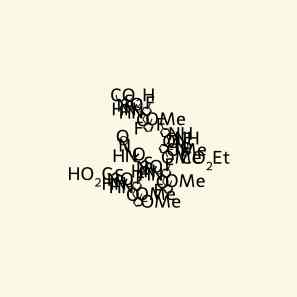 CCOC(=O)Cc1csc(NC(=O)Nc2cc(F)ccc2Oc2cccc(OC)c2OC)n1.COc1cccc(F)c1Oc1ccc(F)cc1NC(=O)Nc1nc(CC(=O)NCCN2CCOCC2)cs1.COc1cccc(F)c1Oc1ccc(F)cc1NC(=O)Nc1nc(CC(=O)O)cs1.COc1cccc(Oc2ccc(F)cc2NC(=O)Nc2nc(C(=O)O)cs2)c1OC